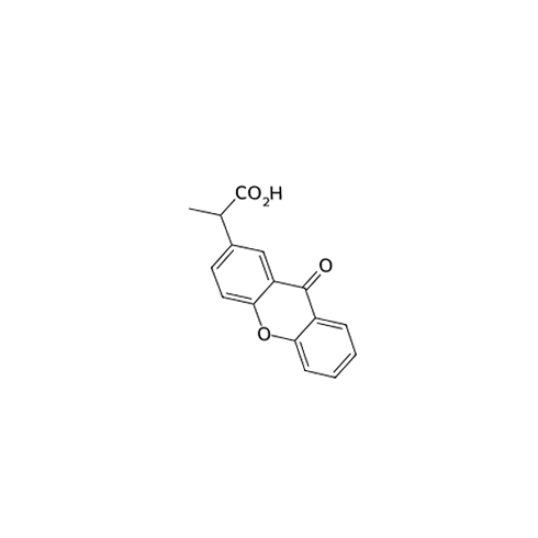 CC(C(=O)O)c1ccc2oc3ccccc3c(=O)c2c1